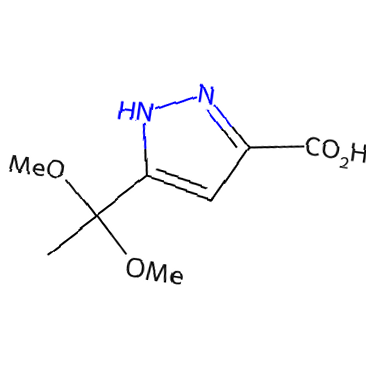 COC(C)(OC)c1cc(C(=O)O)n[nH]1